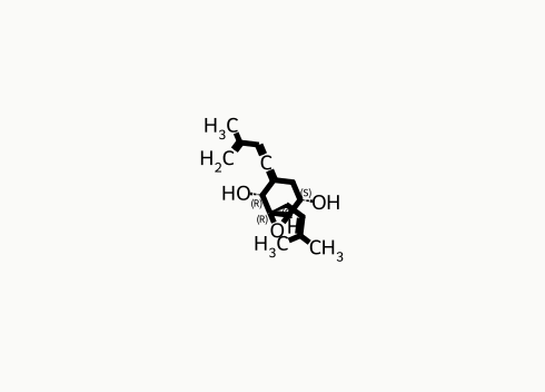 C=C(C)C=C=C1C[C@H](O)[C@@H]2O[C@]2(CC=C(C)C)[C@@H]1O